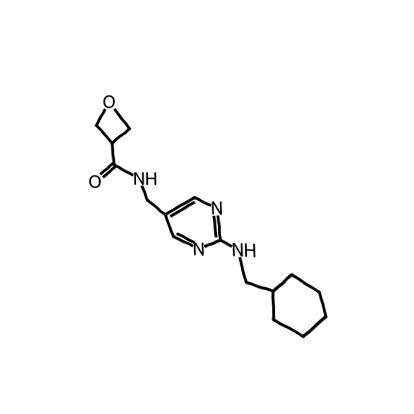 O=C(NCc1cnc(NCC2CCCCC2)nc1)C1COC1